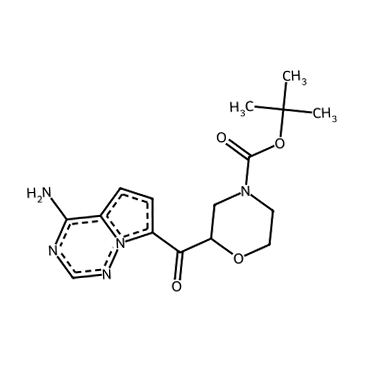 CC(C)(C)OC(=O)N1CCOC(C(=O)c2ccc3c(N)ncnn23)C1